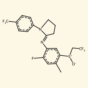 Cc1cc(F)c(/N=C2\CCCN2c2ccc(C(F)(F)F)cc2)cc1[S+]([O-])CC(F)(F)F